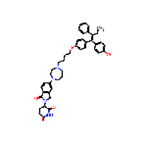 CC/C(=C(\c1ccc(O)cc1)c1ccc(OCCCCN2CCCN(c3ccc4c(c3)CN(C3CCC(=O)NC3=O)C4=O)CC2)cc1)c1ccccc1